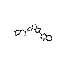 O=C(Cn1cnnc1)N1CC2(CCn3nc(-c4cnc5ccccc5c4)cc32)C1